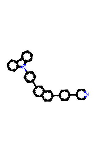 c1ccc2c(c1)c1ccccc1n2-c1ccc(-c2ccc3ccc(-c4ccc(-c5ccncc5)cc4)cc3c2)cc1